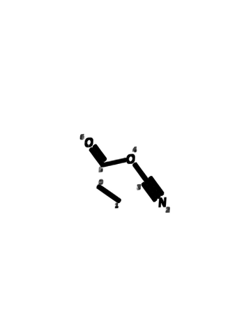 CC.N#COC=O